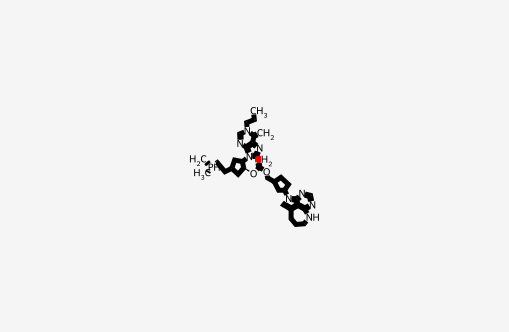 C=C(OCC1CCC(n2cc3c4c(ncnc42)NCCC3)C1)O[C@@H]1CC(CC[PH](=C)C)CC1n1cnc2c1N=CN(CCC)C2=C